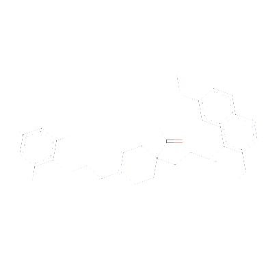 COc1ccc2ncc(CF)c([C@H](F)CCC3(C(=O)O)CCN(CCOc4c(F)cc(F)cc4F)CC3)c2c1